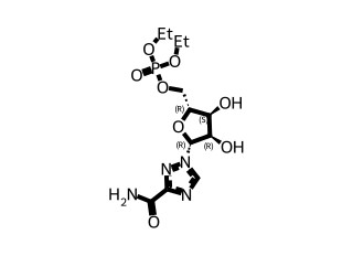 CCOP(=O)(OCC)OC[C@H]1O[C@@H](n2cnc(C(N)=O)n2)[C@H](O)[C@@H]1O